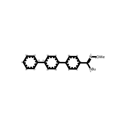 CCCCC(=NOC)c1ccc(-c2ccc(-c3ccccc3)cc2)cc1